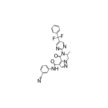 CC1Cn2ncc(C(=O)Nc3cccc(C#N)c3)c2C(=O)N1c1ncc(C(F)(F)c2ccccc2)cn1